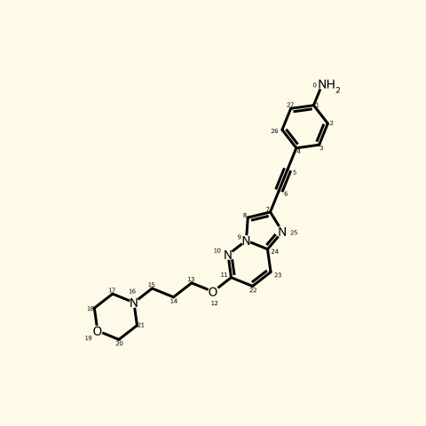 Nc1ccc(C#Cc2cn3nc(OCCCN4CCOCC4)ccc3n2)cc1